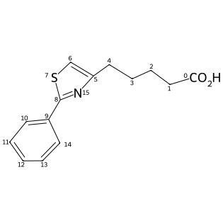 O=C(O)CCCCc1csc(-c2ccccc2)n1